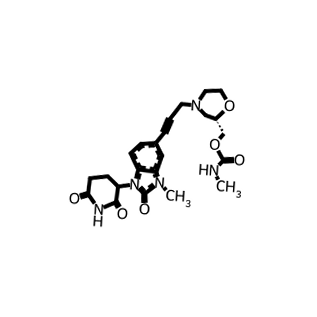 CNC(=O)OC[C@@H]1CN(CC#Cc2ccc3c(c2)n(C)c(=O)n3C2CCC(=O)NC2=O)CCO1